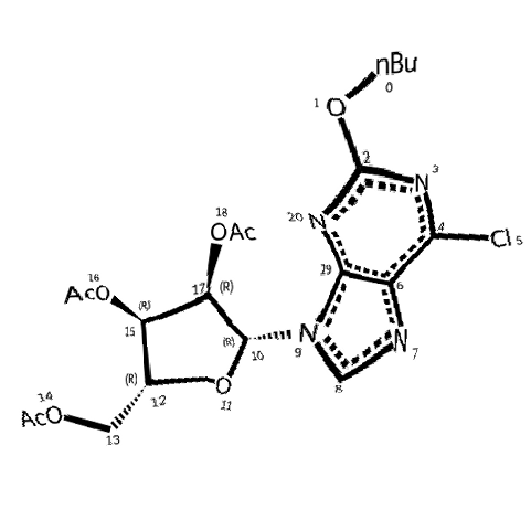 CCCCOc1nc(Cl)c2ncn([C@@H]3O[C@H](COC(C)=O)[C@@H](OC(C)=O)[C@H]3OC(C)=O)c2n1